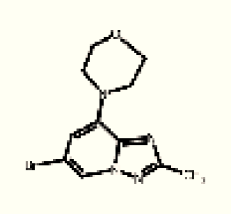 Cc1nc2c(N3CCOCC3)cc(Br)cn2n1